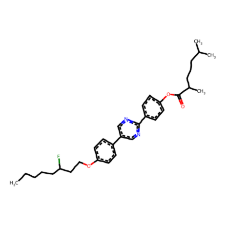 CCCCCC(F)CCOc1ccc(-c2cnc(-c3ccc(OC(=O)C(C)CCCC(C)C)cc3)nc2)cc1